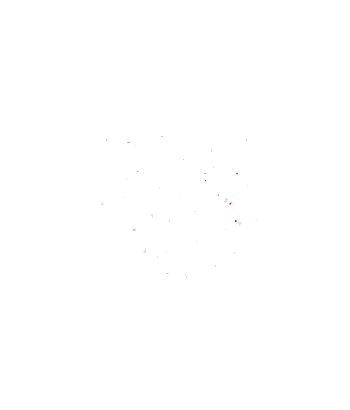 c1ccc(-c2ccccc2N(c2ccc3c(ccc4oc5ccccc5c43)c2)c2ccc3ccc4ccc5ccccc5c4c3c2)cc1